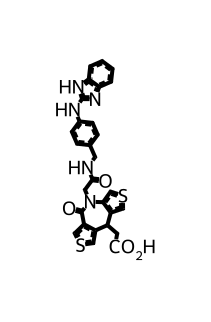 O=C(O)CC1c2cscc2C(=O)N(CC(=O)NCc2ccc(Nc3nc4ccccc4[nH]3)cc2)c2cscc21